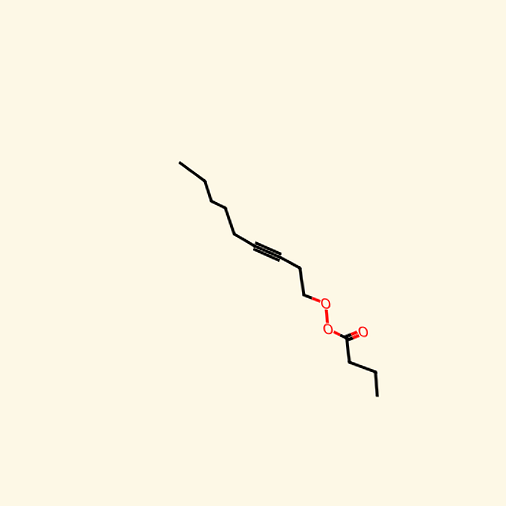 CCCCCC#CCCOOC(=O)CCC